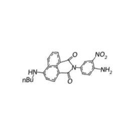 CCCCNc1ccc2c3c(cccc13)C(=O)N(c1ccc(N)c([N+](=O)[O-])c1)C2=O